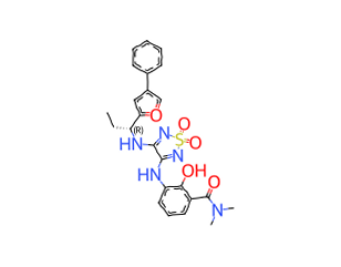 CC[C@@H](NC1=NS(=O)(=O)N=C1Nc1cccc(C(=O)N(C)C)c1O)c1cc(-c2ccccc2)co1